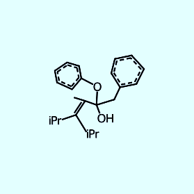 CC(=C(C(C)C)C(C)C)C(O)(Cc1ccccc1)Oc1ccccc1